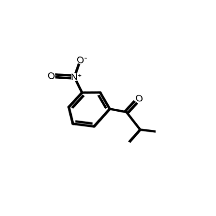 CC(C)C(=O)c1cccc([N+](=O)[O-])c1